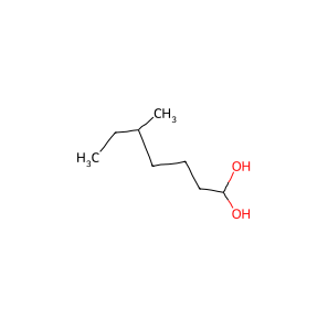 CCC(C)CCCC(O)O